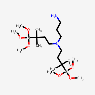 CO[Si](OC)(OC)C(C)(C)CCN(CCCN)CCC(C)(C)[Si](OC)(OC)OC